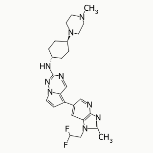 Cc1nc2ncc(-c3ccn4nc(N[C@H]5CC[C@H](N6CCN(C)CC6)CC5)ncc34)cc2n1CC(F)F